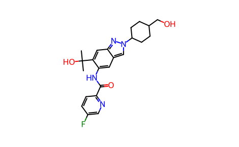 CC(C)(O)c1cc2nn(C3CCC(CO)CC3)cc2cc1NC(=O)c1ccc(F)cn1